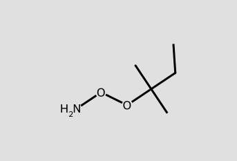 CCC(C)(C)OON